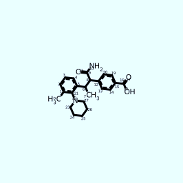 Cc1cccc(C(C)C(C(N)=O)c2ccc(C(=O)O)cc2)c1N1CCCCC1